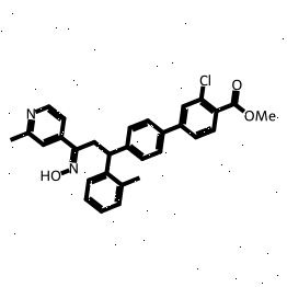 COC(=O)c1ccc(-c2ccc(C(CC(=NO)c3ccnc(C)c3)c3ccccc3C)cc2)cc1Cl